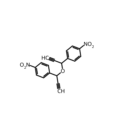 C#CC(OC(C#C)c1ccc([N+](=O)[O-])cc1)c1ccc([N+](=O)[O-])cc1